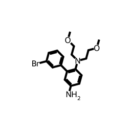 COCCN(CCOC)c1ccc(N)cc1-c1cccc(Br)c1